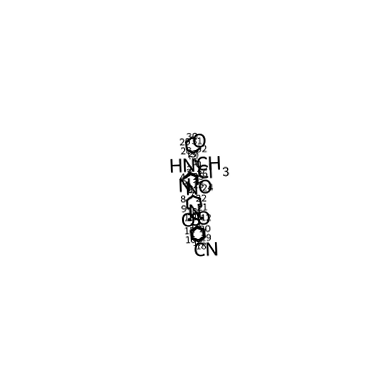 CC(Nc1cnn(C2CCN(S(=O)(=O)c3ccc(C#N)cc3)CC2)c(=O)c1Cl)[C@@H]1CCCOC1